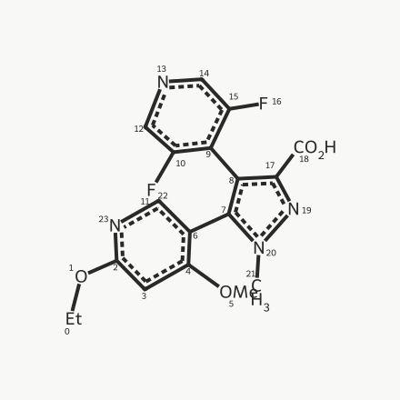 CCOc1cc(OC)c(-c2c(-c3c(F)cncc3F)c(C(=O)O)nn2C)cn1